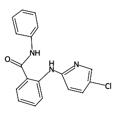 O=C(Nc1ccccc1)c1ccccc1Nc1ccc(Cl)cn1